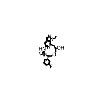 CCn1ncc2cc3nc(c21)C[C@H](O)COC[C@H](c1cccc(F)c1)NC(=O)N3